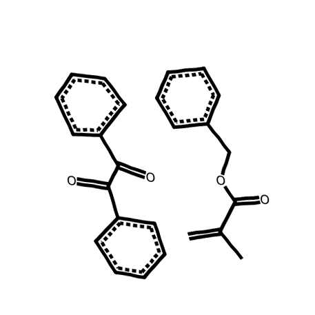 C=C(C)C(=O)OCc1ccccc1.O=C(C(=O)c1ccccc1)c1ccccc1